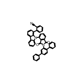 N#Cc1ccccc1-c1cccc2c3ccccc3n(-c3cccc4c3C(=O)N(c3cc(-c5ccccc5)ccc3-c3ccccc3)C4=O)c12